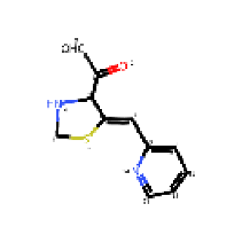 O=CC(=O)C1NCSC1=Cc1ccccn1